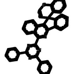 c1ccc(-c2nc(-c3ccccc3)nc(-c3nc4c(c5ccccc35)C3(c5ccccc5Oc5ccccc53)c3ccccc3-4)n2)cc1